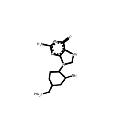 Nc1nc2c(c(=O)[nH]1)NCN2C1CCC(CC(=O)O)CC1N